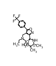 CCN(CC)Cc1c(C(=O)N[C@@H](C)C(C)C)noc1-c1ccc(C(F)(F)F)cc1